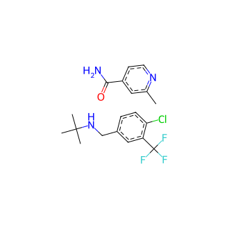 CC(C)(C)NCc1ccc(Cl)c(C(F)(F)F)c1.Cc1cc(C(N)=O)ccn1